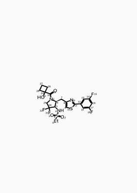 CCS(=O)(=O)N[C@@H]1[C@H](Cc2csc(-c3cc(F)cc(F)c3)n2)N(C(=O)C2(O)CCC2)CC1(F)F